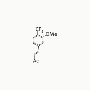 COc1cc(C=CC(C)=O)ccc1C(F)(F)F